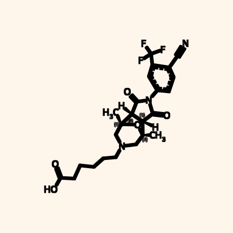 C[C@]12CN(CCCCCC(=O)O)C[C@](C)(O1)[C@H]1C(=O)N(c3ccc(C#N)c(C(F)(F)F)c3)C(=O)[C@H]12